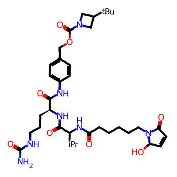 CC(C)C(NC(=O)CCCCCN1C(=O)C=CC1O)C(=O)N[C@@H](CCCNC(N)=O)C(=O)Nc1ccc(COC(=O)N2CC(C(C)(C)C)C2)cc1